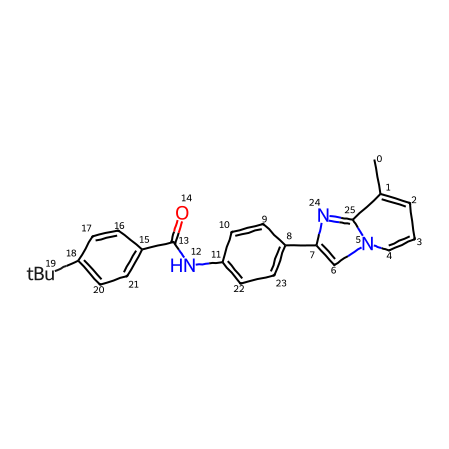 Cc1cccn2cc(-c3ccc(NC(=O)c4ccc(C(C)(C)C)cc4)cc3)nc12